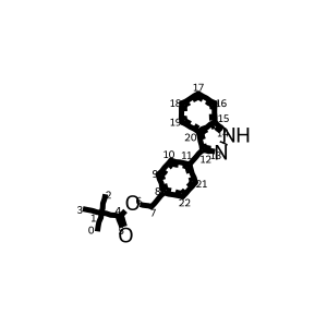 CC(C)(C)C(=O)OCc1ccc(-c2n[nH]c3ccccc23)cc1